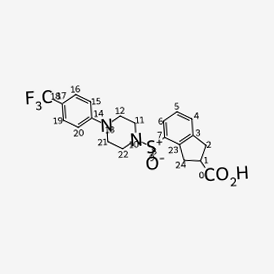 O=C(O)C1Cc2cccc([S+]([O-])N3CCN(c4ccc(C(F)(F)F)cc4)CC3)c2C1